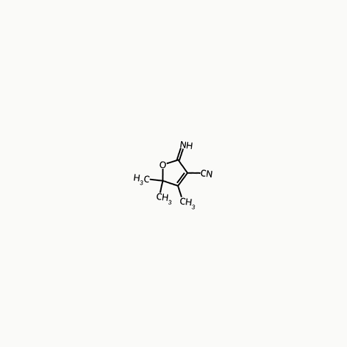 CC1=C(C#N)C(=N)OC1(C)C